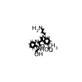 CC(=O)O.NCCCn1cc(-c2nc3ccccc3n(CCO)c2=O)c2ccccc21